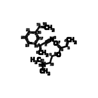 C=CC#N.C=CC(=O)OCCN(C)C.C=Cc1ccccc1